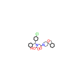 O=C(CN(C(=O)O)C(c1ccccc1)c1ccc(Cl)cc1)N1CCC2(CC1)OCc1ccccc12